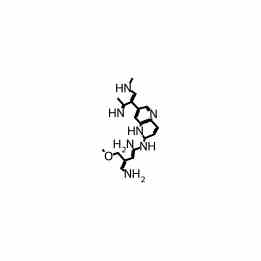 CN/C=C(\C(C)=N)c1cnc2c(c1)NC(N/C(N)=C/C(=C\N)COC)C=C2